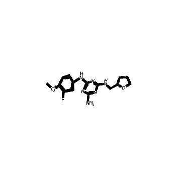 COc1ccc(Nc2nc(N)nc(NCC3CCCO3)n2)cc1F